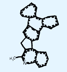 Cc1nc2ccccc2c2c1Cc1cc3c4ccccc4c4ccccc4c3cc1-2